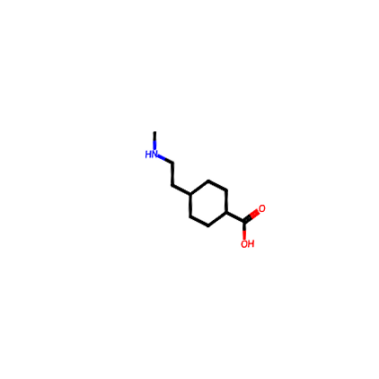 CNCCC1CCC(C(=O)O)CC1